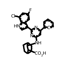 O=C(O)C1C2CCC(CC2)C1Nc1cc(-c2ccccc2)nc(-c2c[nH]c3c(Cl)cc(F)cc23)n1